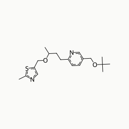 Cc1ncc(COC(C)CCc2ccc(COC(C)(C)C)cn2)s1